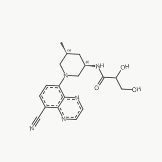 C[C@H]1C[C@@H](NC(=O)C(O)CO)CN(c2ccc(C#N)c3nccnc23)C1